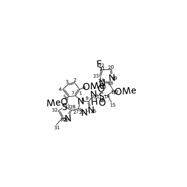 COc1cccc(OC)c1-n1c(NS(=O)(=O)C(C)C(OC)c2ncc(F)cn2)nnc1-c1nc(C)cs1